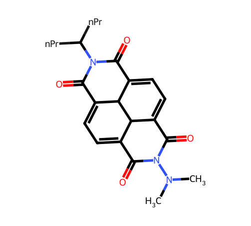 CCCC(CCC)N1C(=O)C2=CC=C3C(=O)N(N(C)C)C(=O)C4=CC=C(C1=O)C2C34